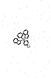 C1=CC([Si](c2ccccc2)(c2ccccc2)C2C=Cc3ccccc32)c2ccccc21.[Li]